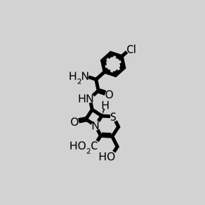 NC(C(=O)NC1C(=O)N2C(C(=O)O)=C(CO)CS[C@H]12)c1ccc(Cl)cc1